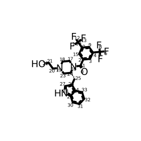 O=C(c1cc(C(F)(F)F)cc(C(F)(F)F)c1)N1CCN(CCO)C[C@H]1Cc1c[nH]c2ccccc12